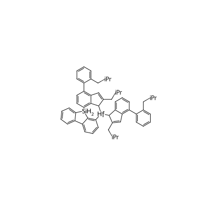 CC(C)CC1=Cc2c(-c3ccccc3CC(C)C)cccc2[CH]1[Hf]([c]1cccc2c1[SiH2]c1ccccc1-2)[CH]1C(CC(C)C)=Cc2c(-c3ccccc3CC(C)C)cccc21